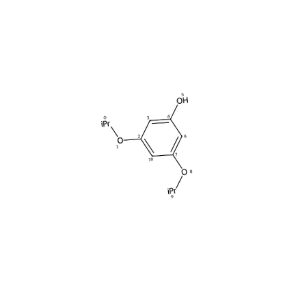 CC(C)Oc1cc(O)cc(OC(C)C)c1